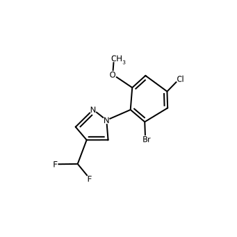 COc1cc(Cl)cc(Br)c1-n1cc(C(F)F)cn1